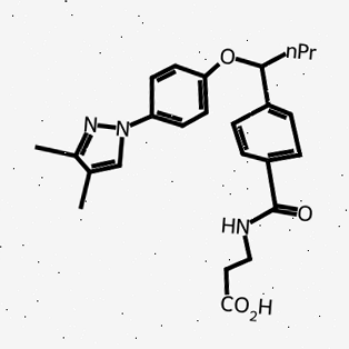 CCCC(Oc1ccc(-n2cc(C)c(C)n2)cc1)c1ccc(C(=O)NCCC(=O)O)cc1